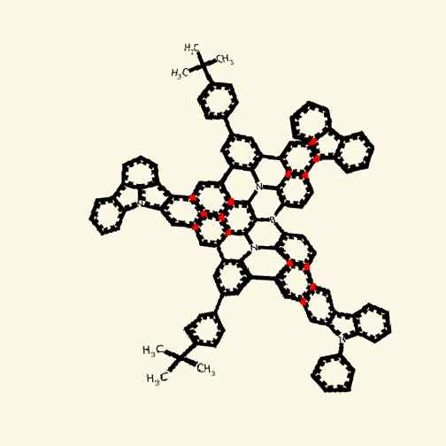 CC(C)(C)c1ccc(-c2cc(-c3ccccc3)c(N3c4cc(-c5ccc6c(c5)c5ccccc5n6-c5ccccc5)ccc4B4c5ccc(-n6c7ccccc7c7ccccc76)cc5N(c5c(-c6ccccc6)cc(-c6ccc(C(C)(C)C)cc6)cc5-c5ccccc5)c5cc(-c6ccc7c(c6)c6cccc8c9ccccc9n7c86)cc3c54)c(-c3ccccc3)c2)cc1